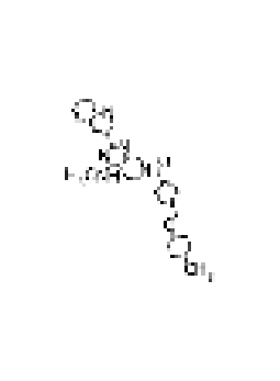 CNc1nc(-c2cnc3ccccc3c2)nc2c1CCN(C(=O)c1ccc(COc3ccc(C)cc3)cc1)C2